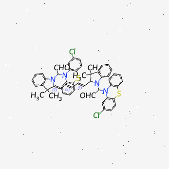 CC1(C)/C(=C/C=C/C=C/C2N(C(C=O)N3c4ccccc4Sc4ccc(Cl)cc43)c3ccccc3C2(C)C)N(C(C=O)N2c3ccccc3Sc3ccc(Cl)cc32)c2ccccc21